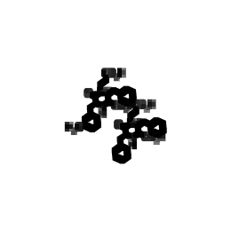 O.O=C(O)CCNC(=O)[C@H](Cc1ccccc1)NC(CCc1ccccc1)C(=O)O.O=C(O)CCNC(=O)[C@H](Cc1ccccc1)NC(CCc1ccccc1)C(=O)O